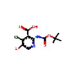 CC(C)(C)OC(=O)Nc1ncc(Br)c(Cl)c1C(=O)O